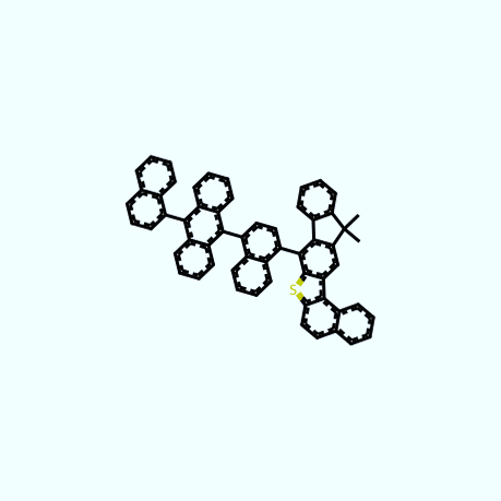 CC1(C)c2ccccc2-c2c1cc1c(sc3ccc4ccccc4c31)c2-c1ccc(-c2c3ccccc3c(-c3cccc4ccccc34)c3ccccc23)c2ccccc12